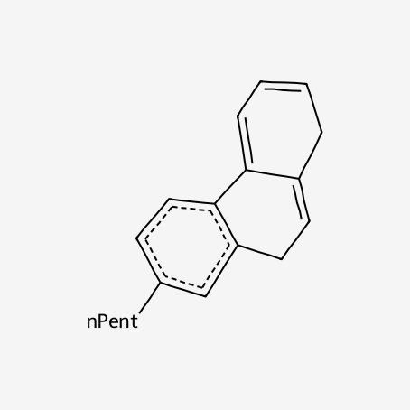 CCCCCc1ccc2c(c1)CC=C1CC=CC=C12